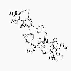 Bc1ccc2nc(-c3ccc(CN(C(=O)OC(C)(C)C)C(=O)OC(C)(C)C)cc3)c(-c3ccccc3)nc2c1O